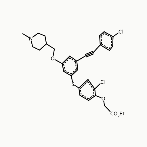 CCOC(=O)COc1ccc(Sc2cc(C#Cc3ccc(Cl)cc3)cc(OCC3CCN(C)CC3)c2)cc1Cl